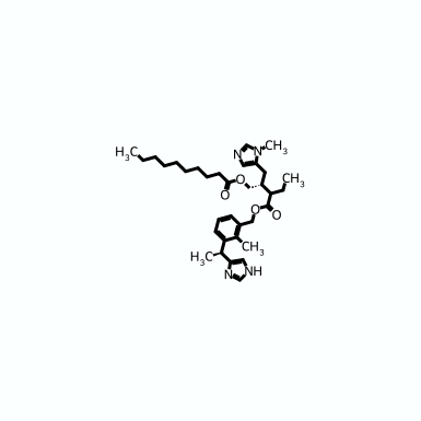 CCCCCCCCCC(=O)OC[C@H](Cc1cncn1C)C(CC)C(=O)OCc1cccc([C@H](C)c2c[nH]cn2)c1C